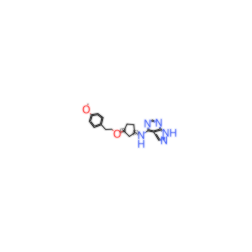 COc1ccc(CCO[C@H]2CC[C@H](Nc3ncnc4[nH]ncc34)C2)cc1